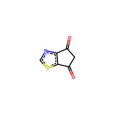 O=C1CC(=O)c2scnc21